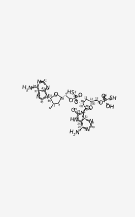 CC1C[C@@H](CO[P@](=O)(S)O[C@@H]2C[C@@H](CO[P@@](=O)(O)S)O[C@H]2n2c(=O)[nH]c3c(N)ncnc32)O[C@H]1n1cnc2c(N)ncnc21